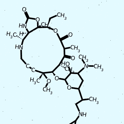 CC[C@H]1OC(=O)C(C)C(=O)[C@H](C)[C@@H](OC2OC(C(C)CNC3CC3)CC(N(C)C)C2O)[C@](C)(OC)CCCN[C@H](C)[C@H]2NC(=O)O[C@@]21C